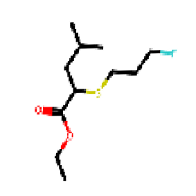 CCOC(=O)C(CC(C)C)SCCCF